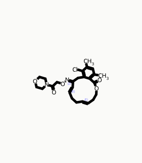 Cc1cc(C)c2c(c1Cl)CC(=N/OCC(=O)N1CCOCC1)/C=C/CC/C=C/CCOC2=O